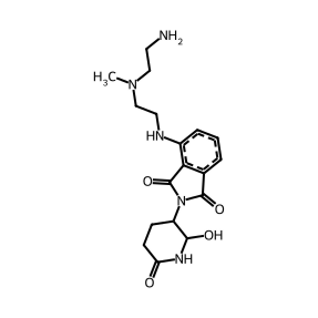 CN(CCN)CCNc1cccc2c1C(=O)N(C1CCC(=O)NC1O)C2=O